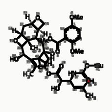 COc1ccc(OC)c(C(=O)O[C@H]2[C@]3(OC(C)=O)[C@@H]4CO[C@@H]4C[C@H]4OC([C@H](O)C5=C(C)[C@@H](OC(=O)[C@H](O)[C@H](C=C(C)C)NC(=O)OC(C)(C)C)C[C@]2(O)C5(C)C)[C@]43C)c1